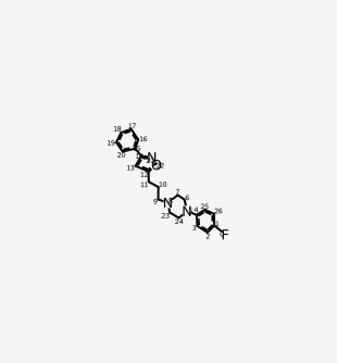 Fc1ccc(N2CCN(CCCc3cc(-c4ccccc4)no3)CC2)cc1